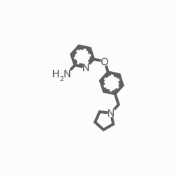 Nc1cccc(Oc2ccc(CN3CCCC3)cc2)n1